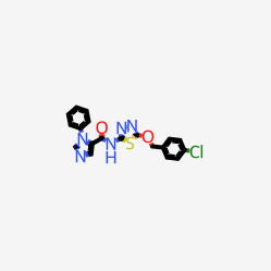 O=C(Nc1nnc(OCc2ccc(Cl)cc2)s1)c1cncn1-c1ccccc1